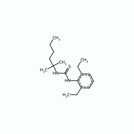 CCCCC(C)(C)NC(=S)Nc1c(CC)cccc1CC